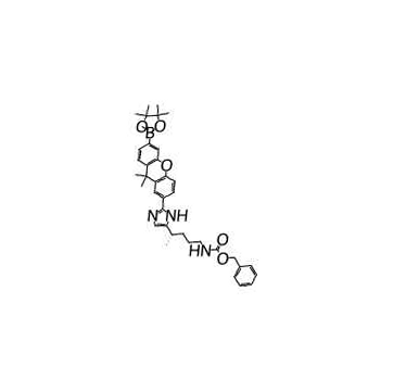 C[C@@H](CCCNC(=O)OCc1ccccc1)c1cnc(-c2ccc3c(c2)C(C)(C)c2ccc(B4OC(C)(C)C(C)(C)O4)cc2O3)[nH]1